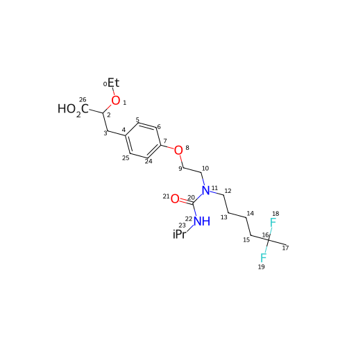 CCOC(Cc1ccc(OCCN(CCCCC(C)(F)F)C(=O)NC(C)C)cc1)C(=O)O